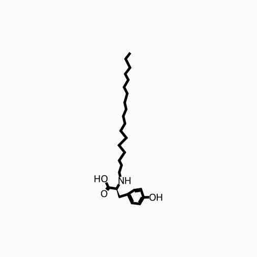 CCCCCCCCCCCCCCCCCCN[C@@H](Cc1ccc(O)cc1)C(=O)O